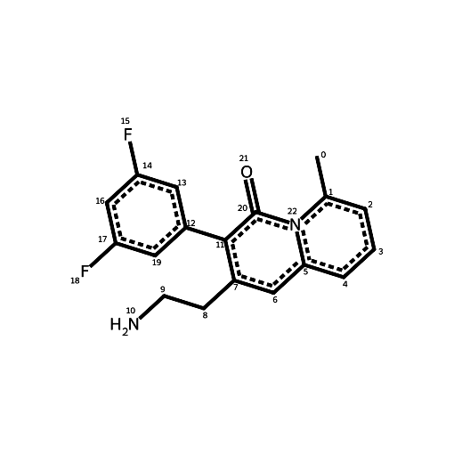 Cc1cccc2cc(CCN)c(-c3cc(F)cc(F)c3)c(=O)n12